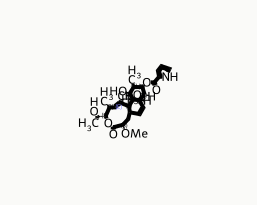 CO[C@H]1CC2C=C[C@H]3[C@H]4O[C@]2(/C(C)=C/[C@@H](C)[C@@H](C(C)O)OC1=O)[C@@H]3[C@H](O)[C@@H](C)[C@H]4OC(=O)c1ccc[nH]1